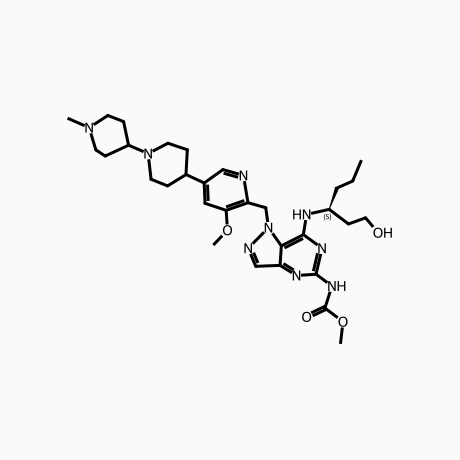 CCC[C@@H](CCO)Nc1nc(NC(=O)OC)nc2cnn(Cc3ncc(C4CCN(C5CCN(C)CC5)CC4)cc3OC)c12